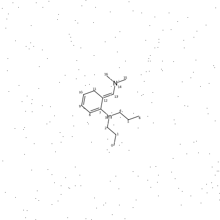 CC[CH2][In]([CH2]CC)[C]1=CC=CCC1=CN(C)C